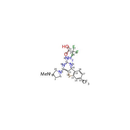 CN[C@H]1CCN(c2nc(N)nc3c2sc2cc(C(F)(F)F)ccc23)C1.O=C(O)C(F)(F)F